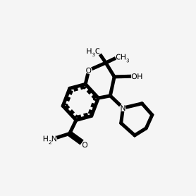 CC1(C)Oc2ccc(C(N)=O)cc2C(N2CCCCC2)C1O